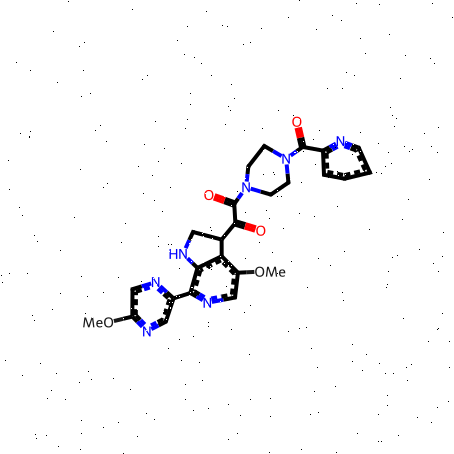 COc1cnc(-c2ncc(OC)c3c2NCC3C(=O)C(=O)N2CCN(C(=O)c3ccccn3)CC2)cn1